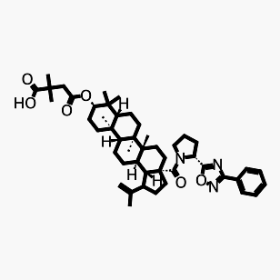 C=C(C)C1CC[C@]2(C(=O)N3CCC[C@@H]3c3nc(-c4ccccc4)no3)CC[C@]3(C)[C@H](CC[C@@H]4[C@@]5(C)CC[C@H](OC(=O)CC(C)(C)C(=O)O)C(C)(C)[C@@H]5CC[C@]43C)[C@@H]12